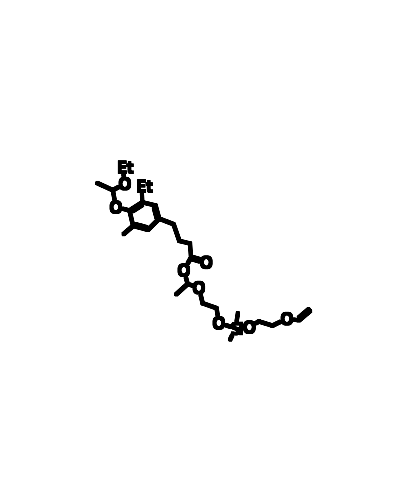 C=COCCO[Si](C)(C)OCCOC(C)OC(=O)CCCc1cc(C)c(OC(C)OCC)c(CC)c1